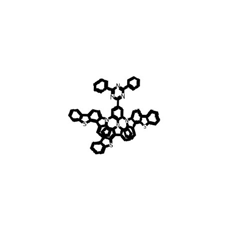 c1ccc(-c2nc(-c3ccccc3)nc(-c3cc(-n4c5ccccc5c5c6sc7ccccc7c6ccc54)c(-n4c5ccccc5c5c6sc7ccccc7c6ccc54)c(-n4c5ccccc5c5c6sc7ccccc7c6ccc54)c3)n2)cc1